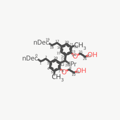 CCCCCCCCCCCCc1cc(C)c(OCCO)c(C(c2cc(CCCCCCCCCCCC)cc(C)c2OCCO)C(C)C)c1